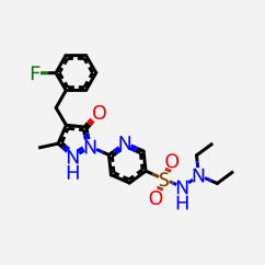 CCN(CC)NS(=O)(=O)c1ccc(-n2[nH]c(C)c(Cc3ccccc3F)c2=O)nc1